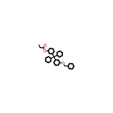 CCC(=O)Oc1cccc(C(c2ccccc2)(c2ccccc2)c2cccc(OCc3ccccc3)c2)c1